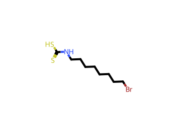 S=C(S)NCCCCCCCCBr